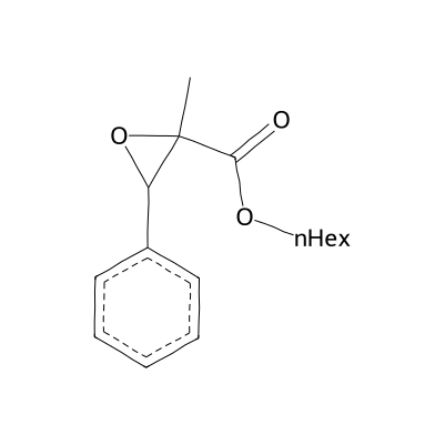 CCCCCCOC(=O)C1(C)OC1c1ccccc1